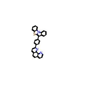 c1cnc2c(c1)ccc1ccc(-c3ccc(-c4c5ccccc5n5c4sc4ccccc45)cc3)nc12